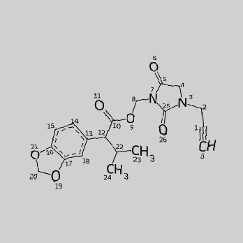 C#CCN1CC(=O)N(COC(=O)C(c2ccc3c(c2)OCO3)C(C)C)C1=O